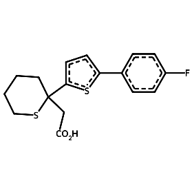 O=C(O)CC1(c2ccc(-c3ccc(F)cc3)s2)CCCCS1